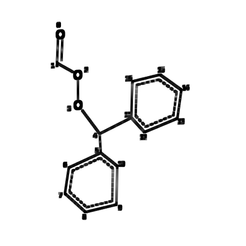 O=[C]OOC(c1ccccc1)c1ccccc1